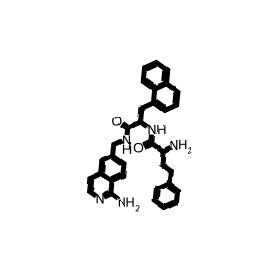 Nc1nccc2cc(CNC(=O)C(Cc3cccc4ccccc34)NC(=O)C(N)CCc3ccccc3)ccc12